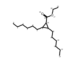 CCCCCCC1C(CCCCCC)C1C(=O)OCC